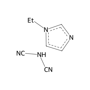 CCn1ccnc1.N#CNC#N